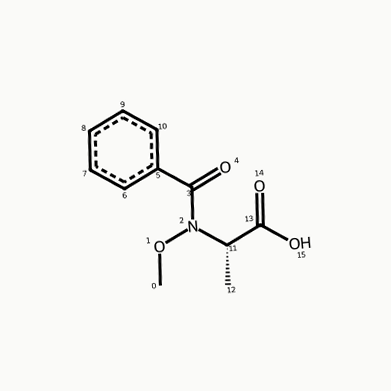 CON(C(=O)c1ccccc1)[C@@H](C)C(=O)O